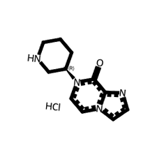 Cl.O=c1c2nccn2ccn1[C@@H]1CCCNC1